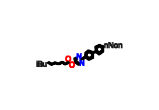 CCCCCCCCCc1ccc(-c2ccc(-c3ncc(OC(=O)CCCCCC[C@@H](C)CC)cn3)cc2)cc1